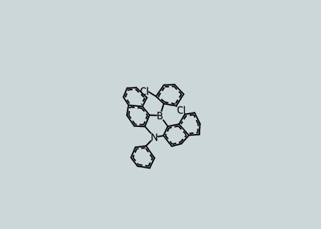 Clc1cccc(Cl)c1B1c2c(ccc3ccccc23)N(c2ccccc2)c2ccc3ccccc3c21